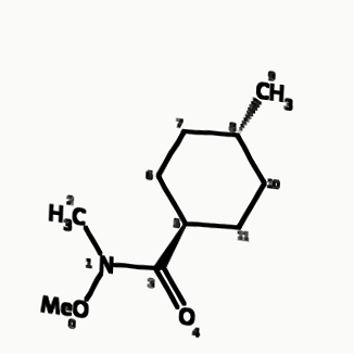 CON(C)C(=O)[C@H]1CC[C@H](C)CC1